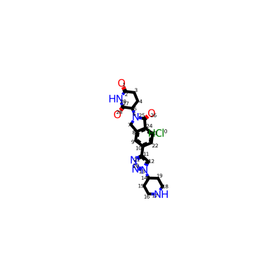 Cl.O=C1CCC(N2Cc3cc(-c4cn(C5CCNCC5)nn4)ccc3C2=O)C(=O)N1